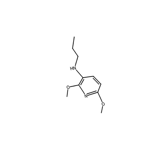 CCCNc1ccc(OC)nc1OC